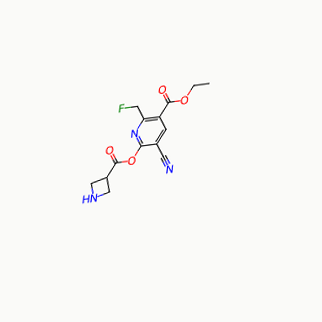 CCOC(=O)c1cc(C#N)c(OC(=O)C2CNC2)nc1CF